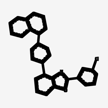 Clc1cccc(-c2nc3c(-c4ccc(-c5cccc6ccccc56)cc4)cccc3o2)c1